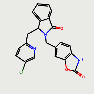 O=C1c2ccccc2C(Cc2ccc(Cl)cn2)N1Cc1ccc2[nH]c(=O)oc2c1